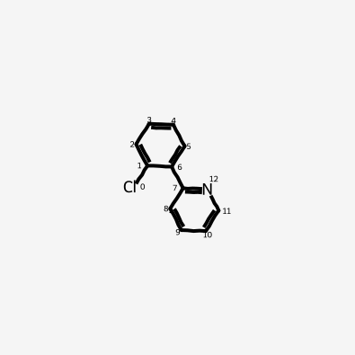 Clc1ccccc1-c1[c]cccn1